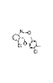 CCc1cccc(N=C=O)c1COc1cc(Cl)c(C)cc1C